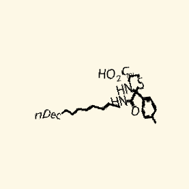 CCCCCCCCCCCCCCCCCCNC(=O)C1(c2ccc(C)cc2)N[C@H](C(=O)O)CS1